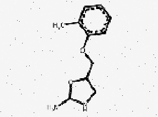 Cc1ccccc1OCC1CNC(N)O1